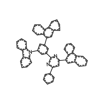 c1ccc(-c2cc(-c3cc4ccccc4c4ccccc34)nc(-c3cc(-c4cc5ccccc5c5ccccc45)cc(-n4c5ccccc5c5ccccc54)c3)n2)cc1